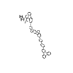 CC1(C)c2ccccc2-c2ccc(-c3ccc4oc5cc6c(cc5c4c3)oc3ccc(-c4ccc(-c5ccc(-c7ccc8c9ccccc9c9ccccc9c8c7)cc5)cc4)cc36)cc21